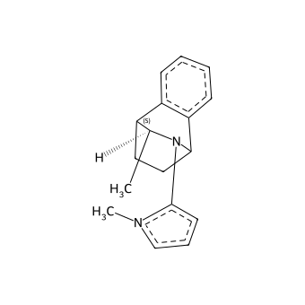 C[C@H]1C2CCC(c3ccccc32)N1c1cccn1C